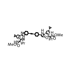 COC(=O)N[C@H](C(=O)N1C[C@@H](C2CC2)C[C@H]1c1ncc(-c2ccc(C#Cc3ccc4nc([C@@H]5CC6(CC6)CN5C(=O)[C@@H](NC(=O)OC)C(C)C)[nH]c4c3)cc2)[nH]1)C(C)C